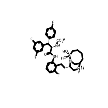 O=C(O)N[C@H](C(=O)Nc1cccc(F)c1CC[C@H]1CN[C@@H]2CCCCS(O)(O)N1C2)[C@@H](c1ccc(F)cc1)c1cc(F)cc(F)c1